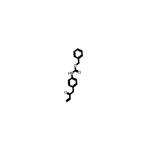 C=CC(=O)Cc1ccc(NC(=O)OCc2ccccc2)cc1